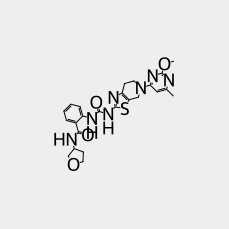 COc1nc(C)cc(N2CCc3nc(NC(=O)Nc4ccccc4C(=O)NC4CCOC4)sc3C2)n1